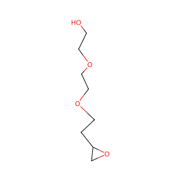 OCCOCCOCCC1CO1